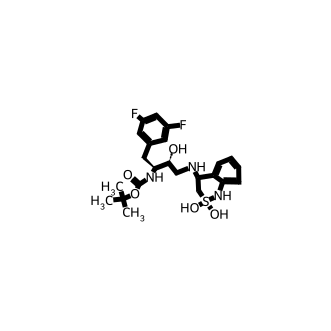 CC(C)(C)OC(=O)N[C@@H](Cc1cc(F)cc(F)c1)[C@H](O)CNC1CS(O)(O)Nc2ccccc21